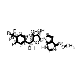 CON=c1nc[nH]c2c1ccn2[C@@H]1O[C@H]([C@H](O)c2ccc(C(F)(F)F)c(F)c2)[C@@](C)(O)[C@H]1O